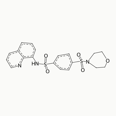 O=S(=O)(Nc1cccc2cccnc12)c1ccc(S(=O)(=O)N2CCOCC2)cc1